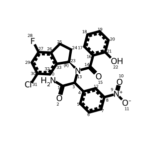 NC(=O)C(c1cccc([N+](=O)[O-])c1)N(C(=O)c1ccccc1O)[C@@H]1CCc2c(F)cc(Cl)cc21